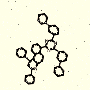 c1ccc(-c2cccc(-c3nc(-c4cccc(-c5ccccc5)c4)nc(-c4cccc5c4ccc4nc(-c6ccccc6)cc(-c6ccccc6)c45)n3)c2)cc1